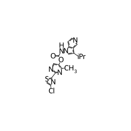 Cc1nc(-c2nc(Cl)cs2)ncc1OC(=O)Nn1cc(C(C)C)c2cnccc21